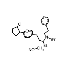 CC#N.CCC(CCc1ccc(C2CCCC2Cl)cc1)N(CCc1ccccc1)C(C)C